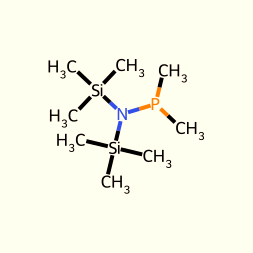 CP(C)N([Si](C)(C)C)[Si](C)(C)C